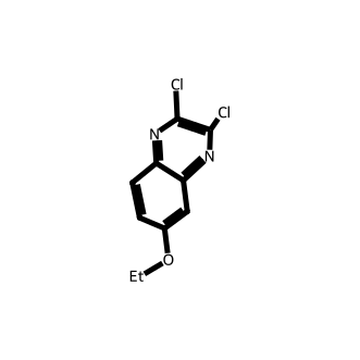 CCOc1ccc2nc(Cl)c(Cl)nc2c1